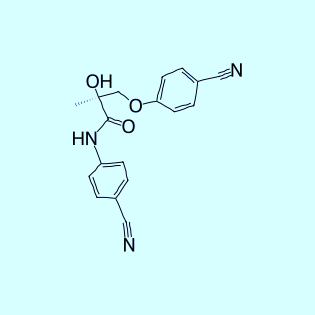 C[C@](O)(COc1ccc(C#N)cc1)C(=O)Nc1ccc(C#N)cc1